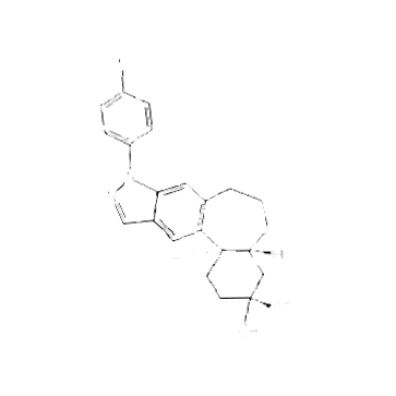 C[C@]1(C(F)(F)F)CC[C@@]2(C=O)c3cc4cnn(-c5ccc(F)cc5)c4cc3CCC[C@@H]2C1